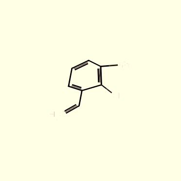 C=[C]c1cccc(CCC)c1C(F)(F)F